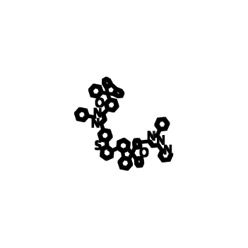 c1ccc(-c2nc(-c3ccc4c(c3)sc3cccc(-c5cccc6c5-c5ccccc5C65c6ccccc6Oc6c(-c7cc(-c8ccccn8)nc(-c8ccccc8)n7)cccc65)c34)cc(-c3cccc4c3Oc3ccccc3C43c4ccccc4-c4ccccc43)n2)cc1